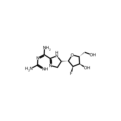 N=C(N)/N=C(/N)C1=NCC([C@@H]2O[C@H](CO)[C@@H](O)[C@H]2F)N1